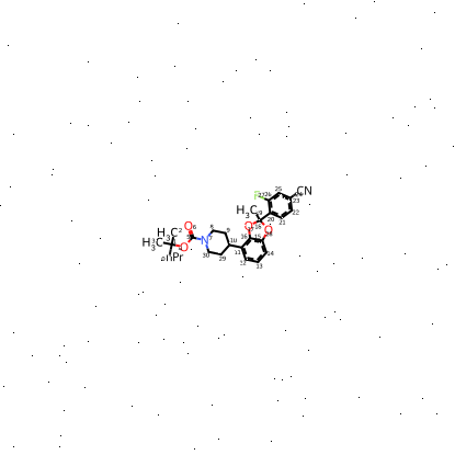 CCCC(C)(C)OC(=O)N1CCC(c2cccc3c2OC(C)(c2ccc(C#N)cc2F)O3)CC1